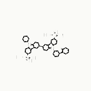 C[Si](C)(C)c1ccc2c(c1)c1cc(-c3ccc4c(c3)c3cc([Si](C)(C)C)ccc3n4-c3cccc4c3oc3ccccc34)ccc1n2-c1ccccc1